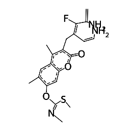 C=C(N)/C(F)=C(\C=C/N)Cc1c(C)c2cc(C)c(O/C(=N/C)SC)cc2oc1=O